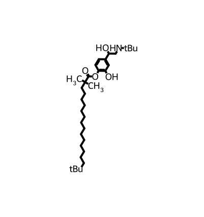 CC(C)(C)CCCCCCCCCCCCCCC(C)(C)C(=O)Oc1ccc(C(O)CNC(C)(C)C)cc1O